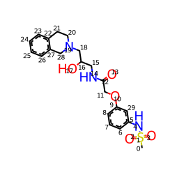 CS(=O)(=O)Nc1cccc(OCC(=O)NCC(O)CN2CCc3ccccc3C2)c1